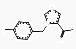 CC(=O)c1cncn1Cc1ccc(F)cc1